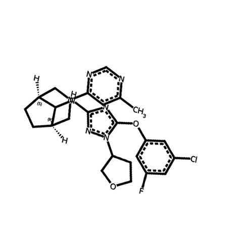 Cc1cc(N2C[C@H]3CC[C@@H](C2)C3Nc2nc(Oc3cc(F)cc(Cl)c3)n(C3CCOC3)n2)ncn1